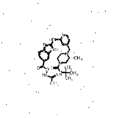 CC(=N)NOC(=O)c1ccc2nc(Nc3cc(CN4CCN(C(=O)OC(C)(C)C)C[C@H]4C)ccn3)[nH]c2c1